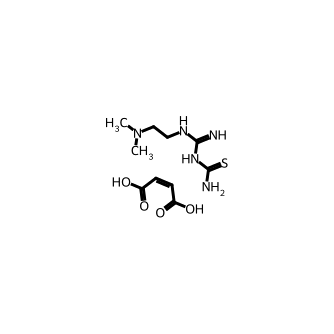 CN(C)CCNC(=N)NC(N)=S.O=C(O)/C=C\C(=O)O